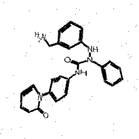 NCc1cccc(NN(C(=O)Nc2ccc(-n3ccccc3=O)cc2)c2ccccc2)c1